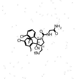 CC(C)(C)C[C@@H]1CN(C(=O)NCC(N)=O)[C@H](c2cccc(Cl)c2F)[C@@]1(C#N)c1ccc(Cl)cc1F